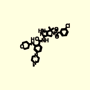 CN1CCN(c2ccc(C(=O)Nc3n[nH]c4c3CN(S(=O)(=O)c3cccc(Cl)c3)C4(C)C)c(NC3CCOCC3)c2)CC1